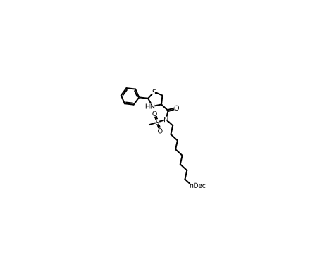 CCCCCCCCCCCCCCCCCCN(C(=O)C1CSC(c2ccccc2)N1)S(C)(=O)=O